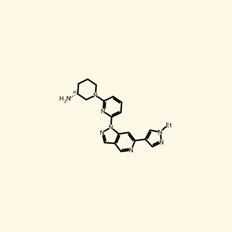 CCn1cc(-c2cc3c(cn2)cnn3-c2cccc(N3CCC[C@@H](N)C3)n2)cn1